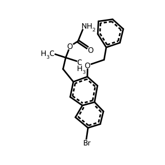 CC(C)(Cc1cc2cc(Br)ccc2cc1OCc1ccccc1)OC(N)=O